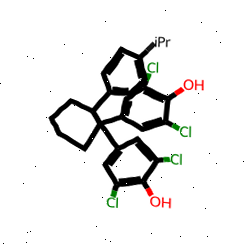 CC(C)c1ccc(C2CCCCC2(c2cc(Cl)c(O)c(Cl)c2)c2cc(Cl)c(O)c(Cl)c2)cc1